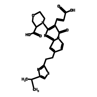 CC(C)c1csc(CCc2ccn3c(=O)c(C=CC(=O)O)c(N4CCOCC4C(=O)O)nc3c2)n1